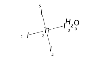 O.[I][Ti]([I])([I])[I]